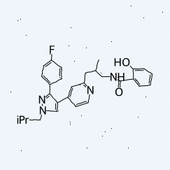 CC(C)Cn1cc(-c2ccnc(CC(C)CNC(=O)c3ccccc3O)c2)c(-c2ccc(F)cc2)n1